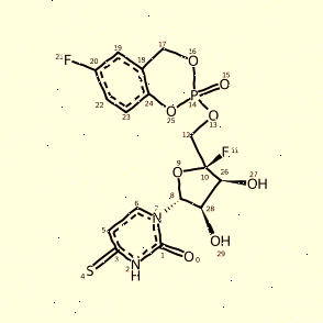 O=c1[nH]c(=S)ccn1[C@@H]1O[C@](F)(COP2(=O)OCc3cc(F)ccc3O2)[C@@H](O)[C@H]1O